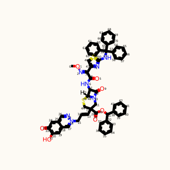 CON=C(C(=O)NC1C(=O)N2CC(C=CCn3cc4cc(O)c(=O)cc-4cn3)(C(=O)OC(c3ccccc3)c3ccccc3)CS[C@H]12)c1csc(NC(c2ccccc2)(c2ccccc2)c2ccccc2)n1